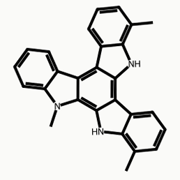 Cc1cccc2c1[nH]c1c2c2[nH]c3c(C)cccc3c2c2c3ccccc3n(C)c12